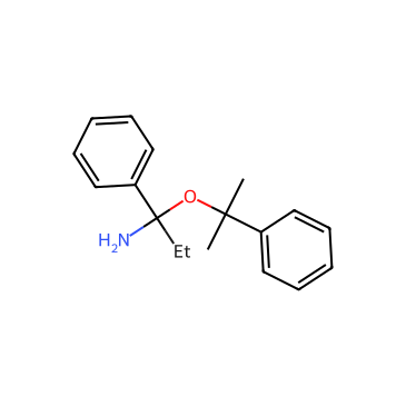 CCC(N)(OC(C)(C)c1ccccc1)c1ccccc1